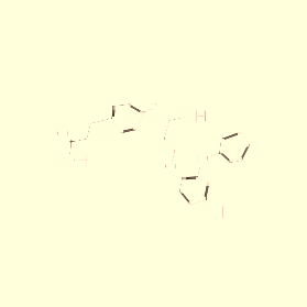 Cc1cc(SC(C)CCOc2ccc(Cl)cc2Oc2ccccc2)ccc1CCC(=O)O